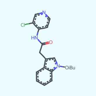 CC(C)COn1cc(CC(=O)Nc2ccncc2Cl)c2ccccc21